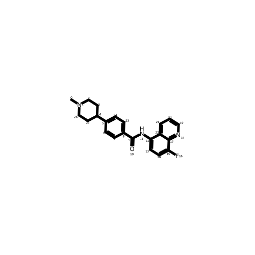 CN1CCC(c2ccc(C(=O)Nc3ccc(F)c4ncccc34)cc2)CC1